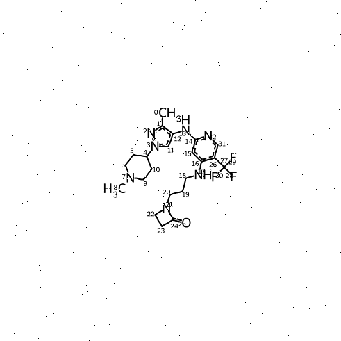 Cc1nn(C2CCN(C)CC2)cc1Nc1cc(NCCCN2CCC2=O)c(C(F)(F)F)cn1